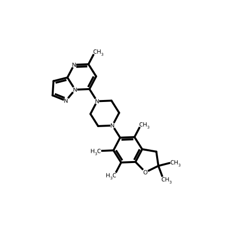 Cc1cc(N2CCN(c3c(C)c(C)c4c(c3C)CC(C)(C)O4)CC2)n2nccc2n1